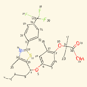 CCCCC(Oc1ccc(OC(C)(C)C(=O)O)c(C)c1)c1sc(-c2ccc(C(F)(F)F)cc2)nc1C